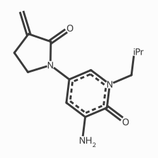 C=C1CCN(c2cc(N)c(=O)n(CC(C)C)c2)C1=O